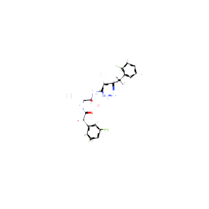 C[C@H](NC(=O)[C@@H](O)c1cc(F)cc(F)c1)C(=O)Nc1cc(C(C)(C)c2ccccc2F)n[nH]1